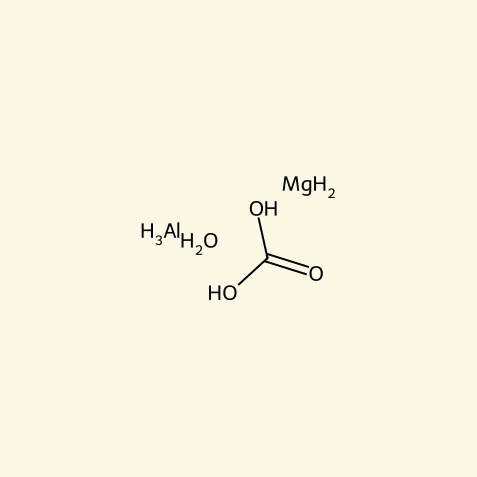 O.O=C(O)O.[AlH3].[MgH2]